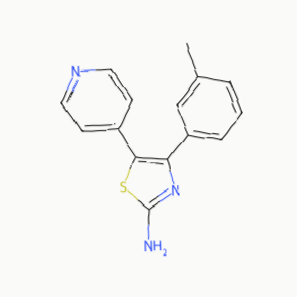 Cc1cccc(-c2nc(N)sc2-c2ccncc2)c1